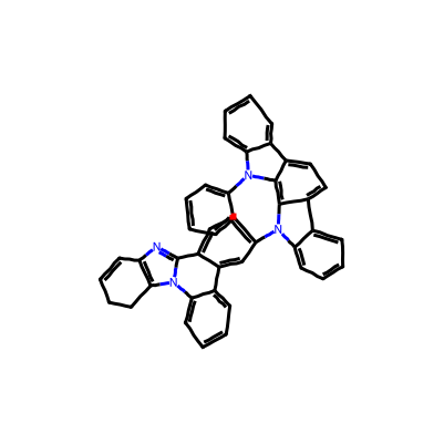 C1=Cc2nc3c4ccc(-n5c6ccccc6c6ccc7c8ccccc8n(-c8ccccc8)c7c65)cc4c4ccccc4n3c2CC1